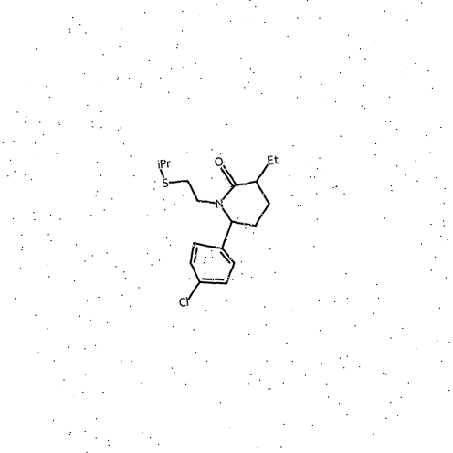 CCC1CCC(c2ccc(Cl)cc2)N(CCSC(C)C)C1=O